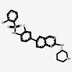 O=S(=O)(Nc1ccc(-c2ccc3nc(N[C@H]4CCCNC4)ncc3c2)cc1F)c1ccccc1Cl